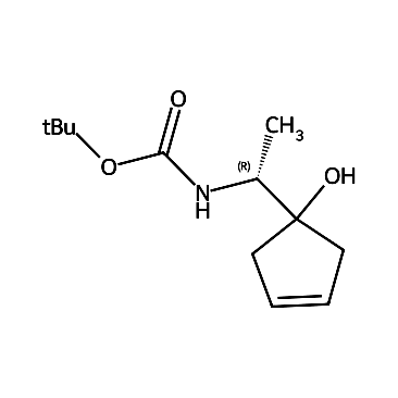 C[C@@H](NC(=O)OC(C)(C)C)C1(O)CC=CC1